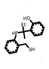 CCC(C)(Pc1ccccc1CS)c1ccccc1O